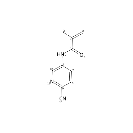 C=C(C)C(=O)Nc1ccc(C#N)nc1